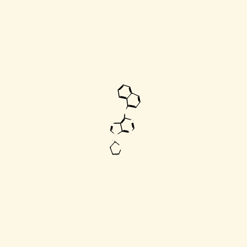 CC[C@H]1O[C@@H](n2cnc3c(Oc4cccc5ccccc45)ncnc32)C[C@H]1C